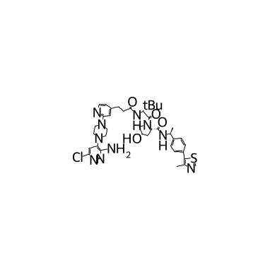 Cc1ncsc1-c1ccc([C@H](C)NC(=O)[C@@H]2C[C@@H](O)CN2C(=O)C(NC(=O)CCc2ccnc(N3CCN(c4cc(Cl)nnc4N)CC3)c2)C(C)(C)C)cc1